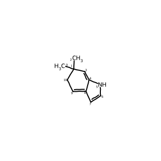 CC1(C)C=c2[nH]ccc2=CC1